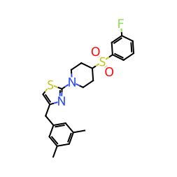 Cc1cc(C)cc(Cc2csc(N3CCC(S(=O)(=O)c4cccc(F)c4)CC3)n2)c1